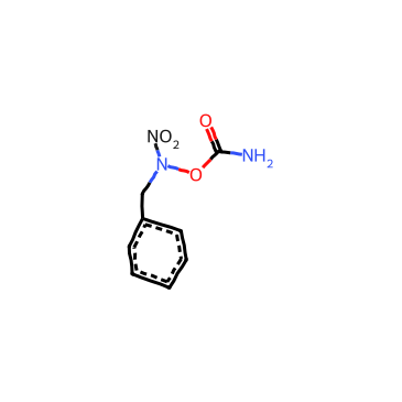 NC(=O)ON(Cc1ccccc1)[N+](=O)[O-]